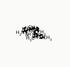 Cc1nc(-c2nc(C(C)Nc3ncnc(N)c3C#N)nn3ccc(C)c23)cc(N2CCN(C)CC2)n1